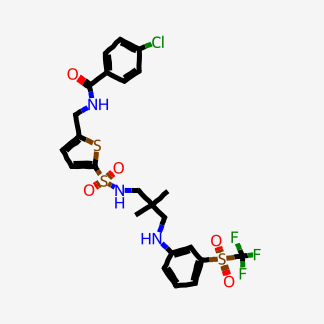 CC(C)(CNc1cccc(S(=O)(=O)C(F)(F)F)c1)CNS(=O)(=O)c1ccc(CNC(=O)c2ccc(Cl)cc2)s1